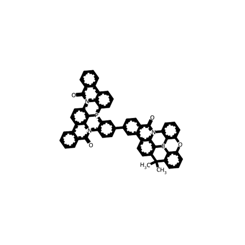 CC1(C)c2cccc3c2B2c4c(cccc4-n4c(=O)c5ccc(-c6ccc7c(c6)p6c8cccc9c%10ccccc%10c(=O)n(c%10ccc%11c%12ccccc%12c(=O)n7c%11c%10-6)c98)cc5c5ccc1c2c54)O3